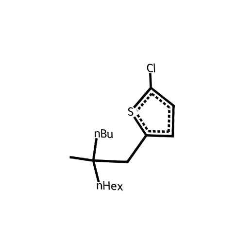 CCCCCCC(C)(CCCC)Cc1ccc(Cl)s1